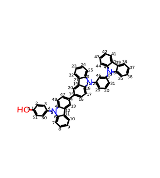 Oc1ccc(-n2c3ccccc3c3cc(-c4ccc5c(c4)c4ccccc4n5-c4cccc(-n5c6ccccc6c6ccccc65)c4)ccc32)cc1